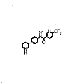 O=C(Nc1ccc([C@H]2CCCNC2)cc1)c1ccc(C(F)(F)F)nc1